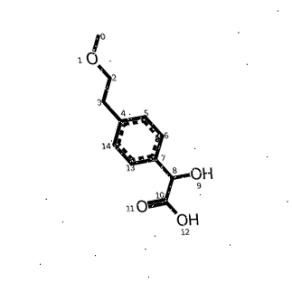 COCCc1ccc(C(O)C(=O)O)cc1